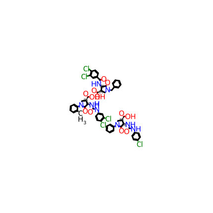 Cc1ccccc1N1C[C@@H](C(=O)O)[C@@H](NC(=O)Nc2ccc(Cl)c(Cl)c2)C1=O.O=C(N[C@H]1C(=O)N(Cc2ccccc2)C[C@H]1C(=O)O)c1ccc(Cl)c(Cl)c1.O=C(Nc1ccc(Cl)cc1)N[C@@H]1C(=O)N(c2ccccc2)C[C@H]1C(=O)O